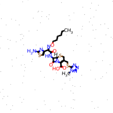 CCCCCCO/N=C(\C(=O)NC1C(=O)N2C(C(=O)O)=C(CSc3nnnn3C)CS[C@H]12)c1csc(N)n1